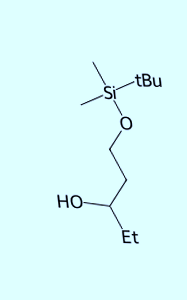 CCC(O)CCO[Si](C)(C)C(C)(C)C